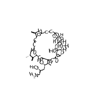 C=C1C[C@@H]2CCC34C[C@H]5O[C@@H]6[C@@H](O[C@@]7(O)CCC(CC(=O)C[C@@H]8[C@@H](C)[C@@H](C[C@H](O)CN)O[C@H]8CC8O[C@@H](CCC1O2)C[C@@H](C)C8=C)O[C@@H]7[C@@H]6O3)[C@H]5O4